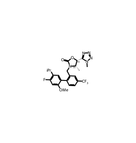 COc1cc(F)c(C(C)C)cc1-c1ccc(C(F)(F)F)cc1CN1C(=O)O[C@H](c2nnnn2C)[C@@H]1C